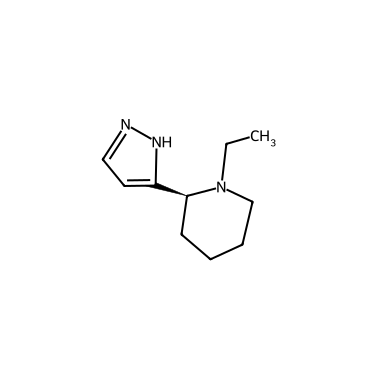 CCN1CCCC[C@H]1c1ccn[nH]1